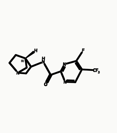 O=C(NC1CN2CC[C@H]1C2)c1ncc(C(F)(F)F)c(F)n1